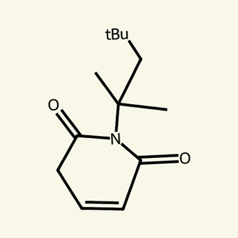 CC(C)(C)CC(C)(C)N1C(=O)C=CCC1=O